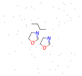 C1=NCCO1.C1=NCCO1.CCCC